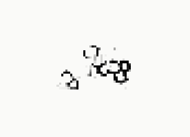 C#Cc1c(F)ccc2cc(O)cc(-c3ncc4c(N5CCOCC(C)(O)C5)nc(OC[C@]56CCC[C@H]5N(C)CCC6)nc4c3F)c12